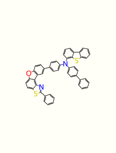 c1ccc(-c2ccc(N(c3ccc(-c4ccc5oc6ccc7sc(-c8ccccc8)nc7c6c5c4)cc3)c3cccc4c3sc3ccccc34)cc2)cc1